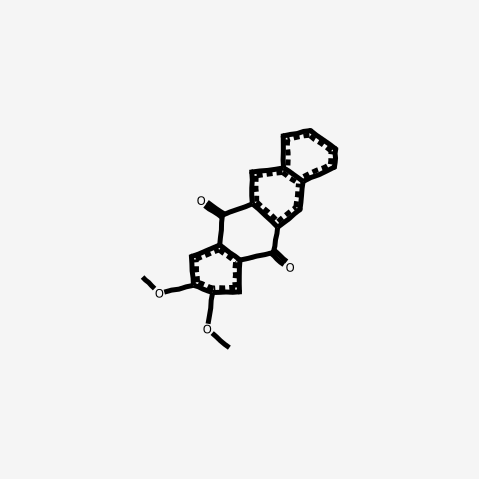 COc1cc2c(cc1OC)C(=O)c1cc3ccccc3cc1C2=O